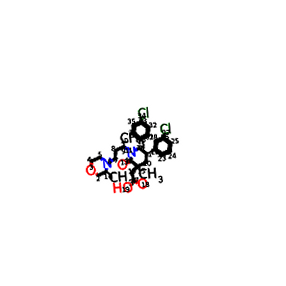 C[C@H]1COCCN1CC[C@H](C)N1C(=O)[C@@](C)(CC(=O)O)C[C@H](c2cccc(Cl)c2)[C@H]1c1ccc(Cl)cc1